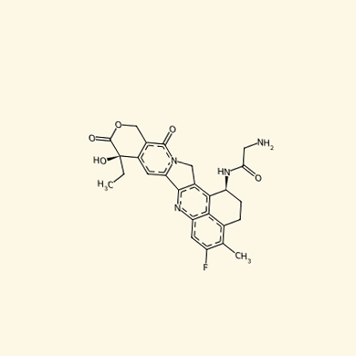 CC[C@]1(O)C(=O)OCc2c1cc1n(c2=O)Cc2c-1nc1cc(F)c(C)c3c1c2[C@@H](NC(=O)CN)CC3